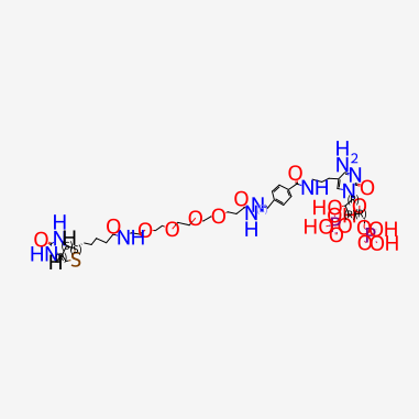 Nc1nc(=O)n([C@@H]2O[C@H](COP(=O)(O)O)[C@H](OP(=O)(O)O)C2O)cc1CCCNC(=O)c1ccc(/C=N/NC(=O)CCOCCOCCOCCOCCNC(=O)CCCC[C@@H]2SC[C@@H]3NC(=O)N[C@@H]32)cc1